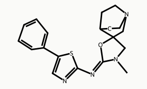 CN1CC2(CN3CCC2CC3)O/C1=N\c1ncc(-c2ccccc2)s1